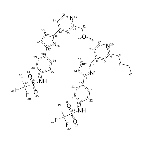 CCCCc1cc(-c2nc(-c3ccc(NS(=O)(=O)C(F)(F)F)cc3)cs2)ccn1.COCc1cc(-c2nc(-c3ccc(NS(=O)(=O)C(F)(F)F)cc3)cs2)ccn1